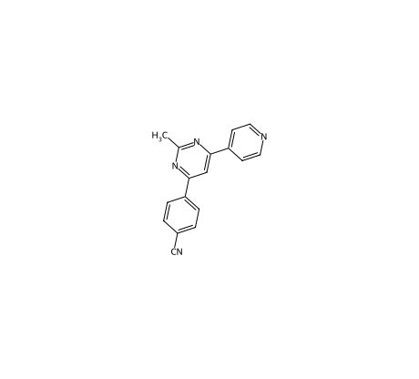 Cc1nc(-c2ccncc2)cc(-c2ccc(C#N)cc2)n1